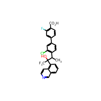 CC(c1ccc(-c2ccc(C(=O)O)c(F)c2)cc1Cl)C(O)(c1cccc2cnccc12)C(F)(F)F